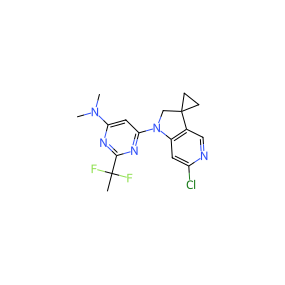 CN(C)c1cc(N2CC3(CC3)c3cnc(Cl)cc32)nc(C(C)(F)F)n1